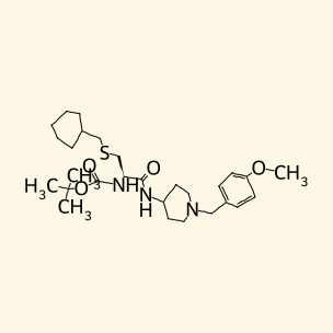 COc1ccc(CN2CCC(NC(=O)[C@H](CSCC3CCCCC3)NC(=O)OC(C)(C)C)CC2)cc1